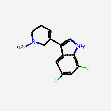 CCCN1CCC=C(c2c[nH]c3c(Cl)cc(F)cc23)C1